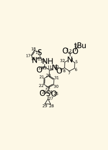 CC(C)(C)OC(=O)N1CCC[C@@H](O/N=C(/C(=O)Nc2nccs2)c2ccc(S(=O)(=O)C3CC3)cc2)C1